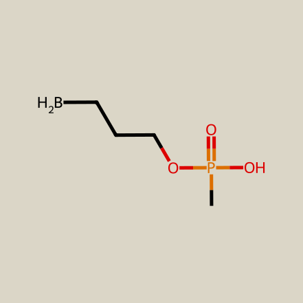 BCCCOP(C)(=O)O